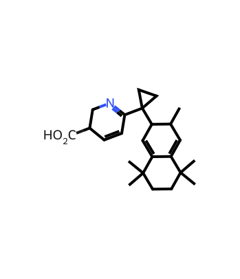 CC1C=C2C(=CC1C1(C3=NCC(C(=O)O)C=C3)CC1)C(C)(C)CCC2(C)C